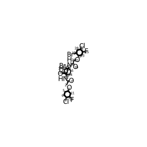 O=C(COc1ccc(Cl)c(F)c1)NC12CCC(NC(=O)COc3cc(F)c(Cl)cc3Br)(CC1)[C@H](Br)C2=O